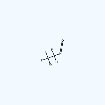 O=C=NC(F)(Cl)C(F)(F)Br